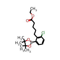 CCOC(=O)CCCCc1c(Cl)cccc1B1OC(C)(C)C(C)(C)O1